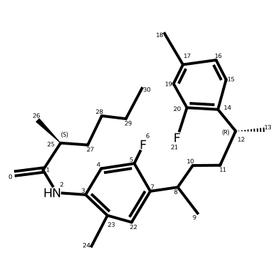 C=C(Nc1cc(F)c(C(C)CC[C@@H](C)c2ccc(C)cc2F)cc1C)[C@@H](C)CCCC